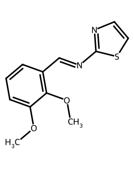 COc1cccc(C=Nc2nccs2)c1OC